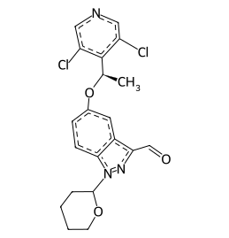 C[C@@H](Oc1ccc2c(c1)c(C=O)nn2C1CCCCO1)c1c(Cl)cncc1Cl